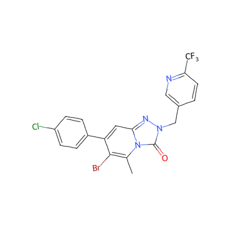 Cc1c(Br)c(-c2ccc(Cl)cc2)cc2nn(Cc3ccc(C(F)(F)F)nc3)c(=O)n12